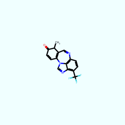 CC1C(=O)C=CC2=C1C=Nc1ccc(C(F)(F)F)c3ncn2c13